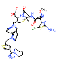 CO/N=C(\C(=O)N[C@@H]1C(=O)N2C(C(=O)[O-])=C(C[n+]3ccc4c(ccn4Cc4cc(C(=N)N5CCCC5)cs4)c3)CS[C@H]12)c1nc(N)sc1Cl